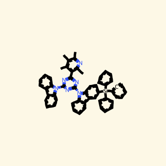 Cc1nc(C)c(-c2nc(-n3c4ccccc4c4ccccc43)nc(-n3c4ccccc4c4cc([Si](c5ccccc5)(c5ccccc5)c5ccccc5)ccc43)n2)c(C)c1C